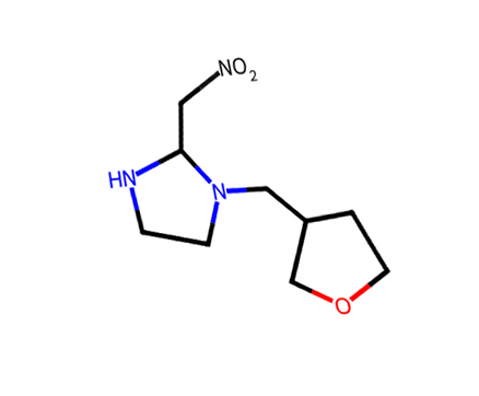 O=[N+]([O-])CC1NCCN1CC1CCOC1